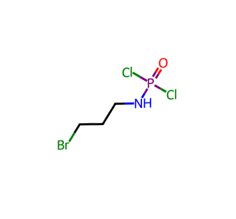 O=P(Cl)(Cl)NCCCBr